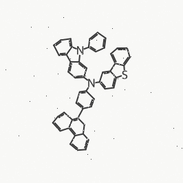 C1=CC2=c3ccccc3=C(c3ccc(N(c4ccc5sc6ccccc6c5c4)c4ccc5c6ccccc6n(-c6ccccc6)c5c4)cc3)CC2C=C1